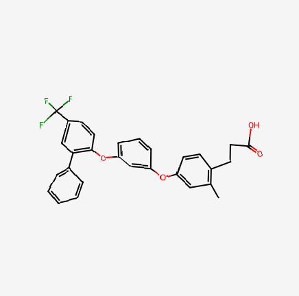 Cc1cc(Oc2cccc(Oc3ccc(C(F)(F)F)cc3-c3ccccc3)c2)ccc1CCC(=O)O